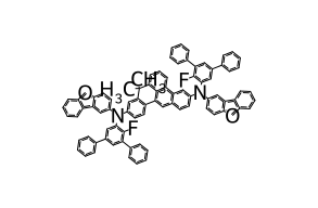 CC1(C)c2cc(N(c3ccc4oc5ccccc5c4c3)c3cc(-c4ccccc4)cc(-c4ccccc4)c3F)ccc2-c2cc3ccc(N(c4ccc5oc6ccccc6c5c4)c4cc(-c5ccccc5)cc(-c5ccccc5)c4F)cc3c3cccc1c23